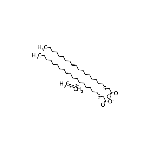 CCCCCCCCC=CCCCCCCCCSCC(=O)[O-].CCCCCCCCC=CCCCCCCCCSCC(=O)[O-].[CH3][Sn+2][CH3]